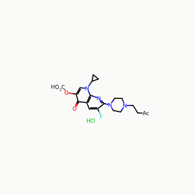 CC(=O)CCN1CCN(c2nc3c(cc2F)c(=O)c(OC(=O)O)cn3C2CC2)CC1.Cl